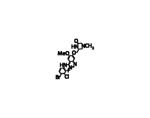 COc1cc2c(Nc3ccc(Br)c(Cl)c3F)ncnc2cc1OCC1CN(C)CC(=O)N1